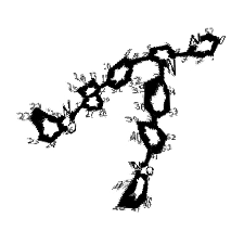 c1ccc(-c2ccc(-c3ccc(-c4cccc5c(-c6nc7ccccc7o6)cccc45)cc3)c(-c3ccc(-c4ccc(-c5nc6ccccc6o5)cc4)cc3)n2)nc1